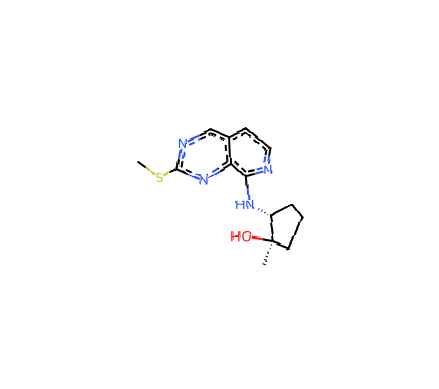 CSc1ncc2ccnc(N[C@@H]3CCC[C@@]3(C)O)c2n1